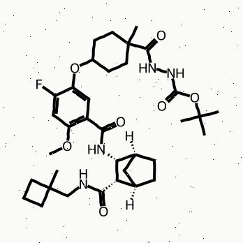 COc1cc(F)c(OC2CCC(C)(C(=O)NNC(=O)OC(C)(C)C)CC2)cc1C(=O)N[C@@H]1[C@H]2CC[C@H](C2)[C@@H]1C(=O)NCC1(C)CCC1